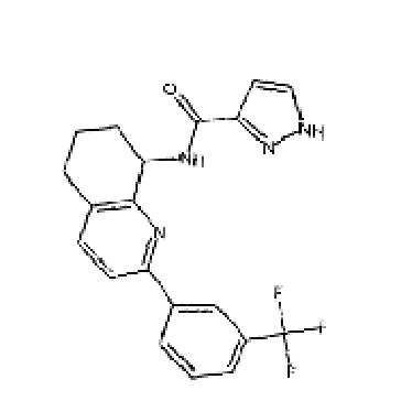 O=C(NC1CCCc2ccc(-c3cccc(C(F)(F)F)c3)nc21)c1cc[nH]n1